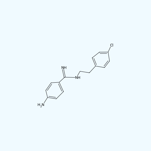 N=C(NCCc1ccc(Cl)cc1)c1ccc(N)cc1